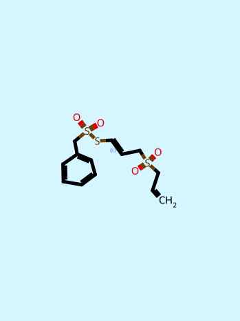 C=CCS(=O)(=O)C/C=C/SS(=O)(=O)Cc1ccccc1